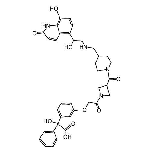 O=C(COc1cccc(C(O)(C(=O)O)c2ccccc2)c1)N1CC(C(=O)N2CCC(CNCC(O)c3ccc(O)c4[nH]c(=O)ccc34)CC2)C1